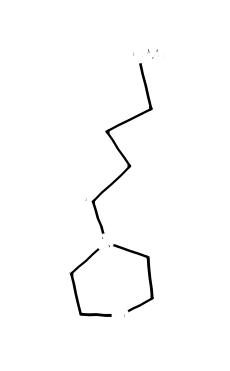 COCCCCN1CCOCC1